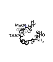 CO/N=C(\C(=O)N[C@@H]1C(=O)N2C(C(=O)[O-])=C(C[n+]3ccc4ccn(Cc5cc(C(=N)N)cs5)c4c3)CS[C@H]12)c1nc(N)sc1Cl.O=CO